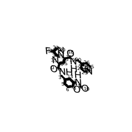 O=C(NCc1ccc2oc(=O)[nH]c2c1)c1cc(C(=O)NCC23CCN(CC2)CC3)n2ncc(F)c2n1